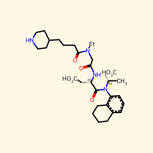 CCN(CC(=O)N[C@@H](CC(=O)O)C(=O)N(c1cccc2c1CCCC2)[C@@H](C)C(=O)O)C(=O)CCCC1CCNCC1